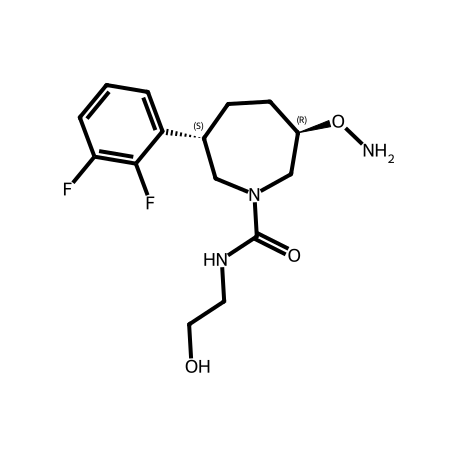 NO[C@@H]1CC[C@@H](c2cccc(F)c2F)CN(C(=O)NCCO)C1